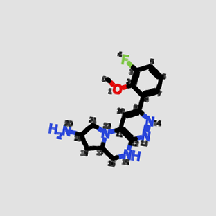 COc1c(F)cccc1-c1cc2c(nn1)NCC1CC(N)CN21